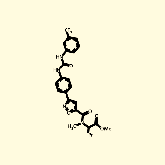 COC(=O)C(C(C)C)N(C)C(=O)c1cc(-c2ccc(NC(=O)Nc3cccc(C(F)(F)F)c3)cc2)no1